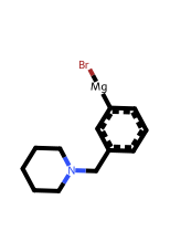 [Br][Mg][c]1cccc(CN2CCCCC2)c1